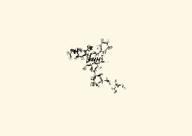 CCN(CC)CC#Cc1cccc(-c2cc(C(C)C)c(NC(=O)N(CCc3ccccc3)c3cc4cccnc4[nH]c3=O)c(C(C)C)c2)c1